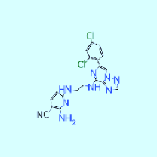 N#Cc1ccc(NCCNc2nc(-c3ccc(Cl)cc3Cl)cn3ncnc23)nc1N